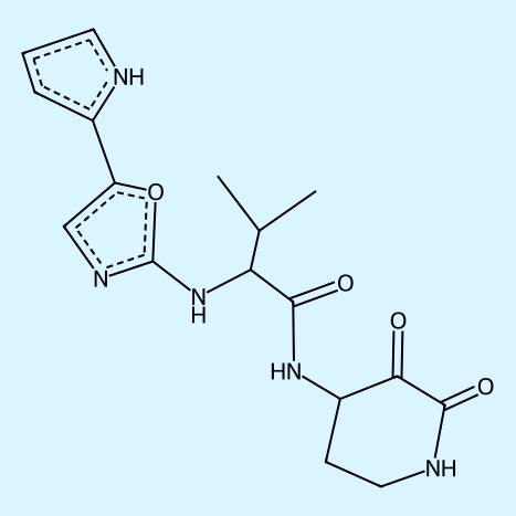 CC(C)C(Nc1ncc(-c2ccc[nH]2)o1)C(=O)NC1CCNC(=O)C1=O